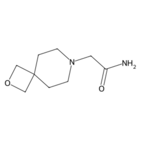 NC(=O)CN1CCC2(CC1)COC2